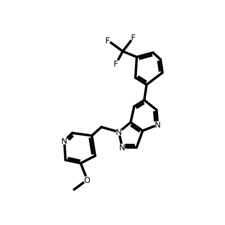 COc1cncc(Cn2ncc3ncc(-c4cccc(C(F)(F)F)c4)cc32)c1